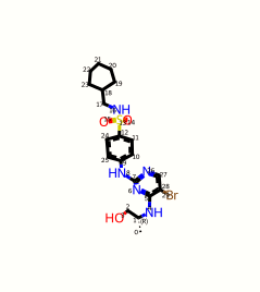 C[C@H](CO)Nc1nc(Nc2ccc(S(=O)(=O)NCC3CCCCC3)cc2)ncc1Br